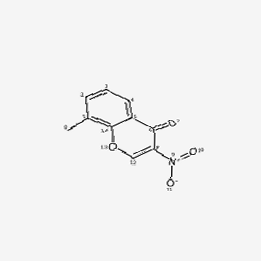 Cc1cccc2c(=O)c([N+](=O)[O-])coc12